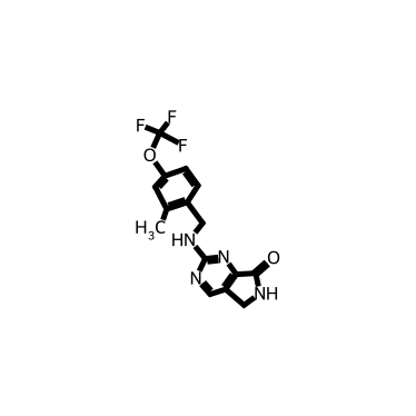 Cc1cc(OC(F)(F)F)ccc1CNc1ncc2c(n1)C(=O)NC2